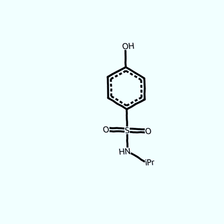 CC(C)NS(=O)(=O)c1ccc(O)cc1